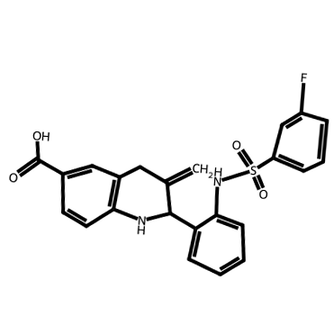 C=C1Cc2cc(C(=O)O)ccc2NC1c1ccccc1NS(=O)(=O)c1cccc(F)c1